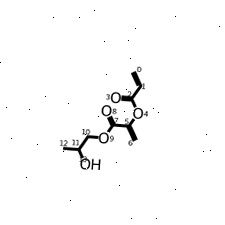 C=CC(=O)OC(=C)C(=O)OCC(C)O